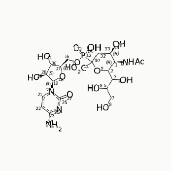 CC(=O)N[C@H]1C(C(O)C(O)CO)OC(C(=O)O)(P(=O)(O)OC[C@H]2O[C@@H](n3ccc(N)nc3=O)[C@@H](O)C2O)C[C@H]1O